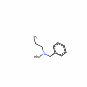 CCCCN(CCC(C)C)Cc1ccccc1